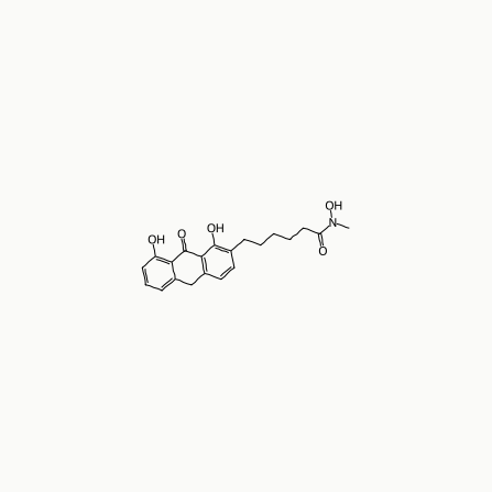 CN(O)C(=O)CCCCCc1ccc2c(c1O)C(=O)c1c(O)cccc1C2